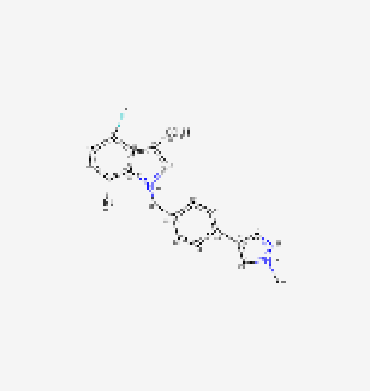 CCc1ccc(F)c2c(C(=O)O)cn(Cc3ccc(-c4cnn(C)c4)cc3)c12